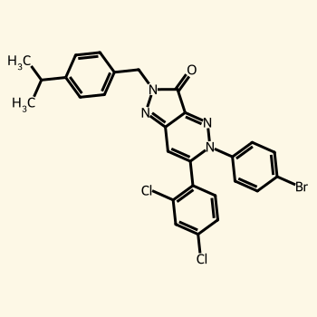 CC(C)c1ccc(Cn2nc3cc(-c4ccc(Cl)cc4Cl)n(-c4ccc(Br)cc4)nc-3c2=O)cc1